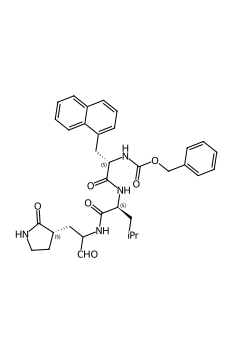 CC(C)C[C@H](NC(=O)[C@H](Cc1cccc2ccccc12)NC(=O)OCc1ccccc1)C(=O)NC(C=O)C[C@@H]1CCNC1=O